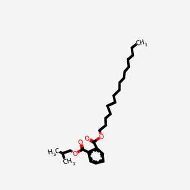 CCCCCCCCCCCCCCCCOC(=O)c1ccccc1C(=O)OCC(C)C